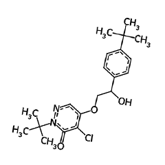 CC(C)(C)c1ccc(C(O)COc2cnn(C(C)(C)C)c(=O)c2Cl)cc1